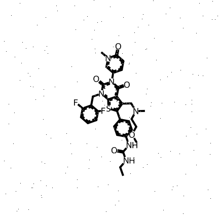 CCNC(=O)Nc1ccc(-c2sc3c(c2CN(C)CCOC)c(=O)n(-c2ccc(=O)n(C)c2)c(=O)n3Cc2c(F)cccc2F)cc1